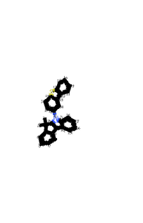 CC1(C)c2ccccc2-c2c1n(-c1ccc3sc4ccccc4c3c1)c1ccccc21